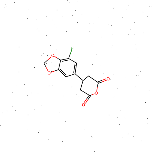 O=C1CC(c2cc(F)c3c(c2)OCO3)CC(=O)O1